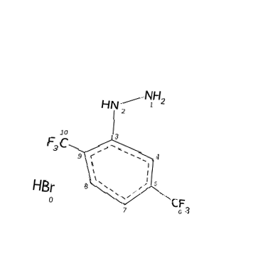 Br.NNc1cc(C(F)(F)F)ccc1C(F)(F)F